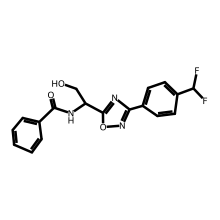 O=C(NC(CO)c1nc(-c2ccc(C(F)F)cc2)no1)c1ccccc1